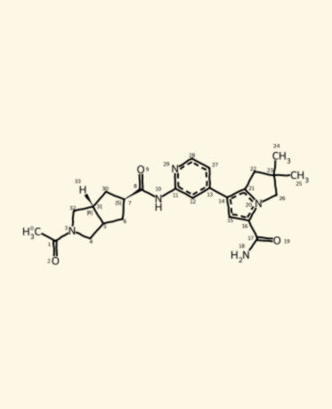 CC(=O)N1CC2C[C@H](C(=O)Nc3cc(-c4cc(C(N)=O)n5c4CC(C)(C)C5)ccn3)C[C@H]2C1